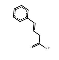 CCCC(=O)CC=Cc1ccccc1